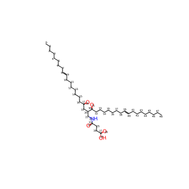 CCCCCCCCC=CCCCCCCCC(=O)CC(CNC(=O)CCC(=O)O)C(=O)CCCCCCCC=CCCCCCCCC